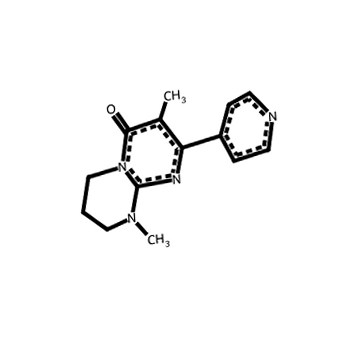 Cc1c(-c2ccncc2)nc2n(c1=O)CCCN2C